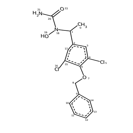 CC(c1cc(Cl)c(OCc2ccccc2)c(Cl)c1)N(O)C(N)=O